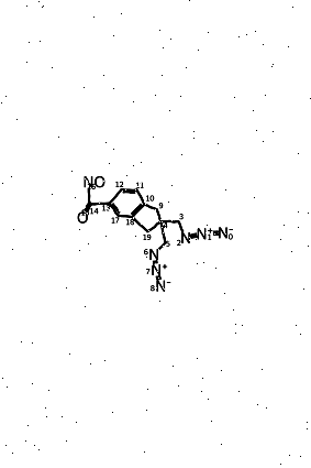 [N-]=[N+]=NCC1(CN=[N+]=[N-])Cc2ccc(C(=O)N=O)cc2C1